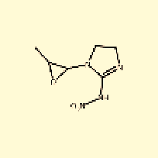 CC1OC1N1CCN=C1N[N+](=O)[O-]